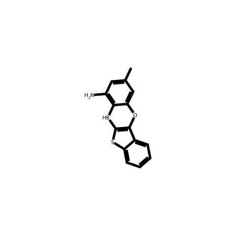 Cc1cc(N)c2c(c1)Oc1c(sc3ccccc13)B2